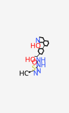 C#Cc1nnc(NC(=O)NC(CO)c2ccc(-c3cccc4ccnc(O)c34)cc2)s1